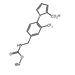 CC(C)(C)OC(=O)NCc1ccc(-n2cccc2C(=O)O)c(C(F)(F)F)c1